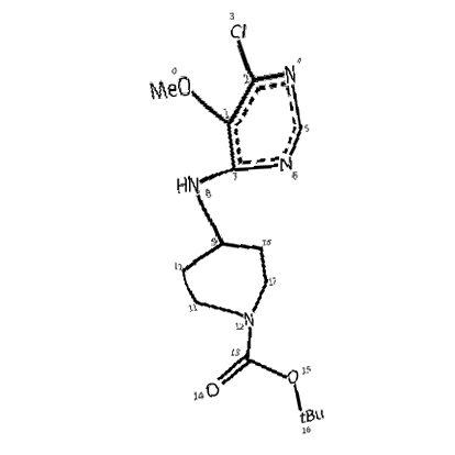 COc1c(Cl)ncnc1NC1CCN(C(=O)OC(C)(C)C)CC1